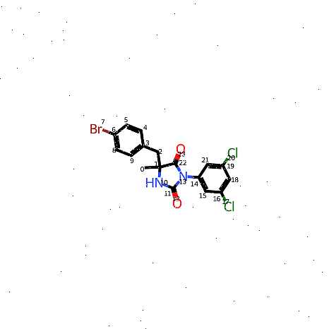 CC1(Cc2ccc(Br)cc2)NC(=O)N(c2cc(Cl)cc(Cl)c2)C1=O